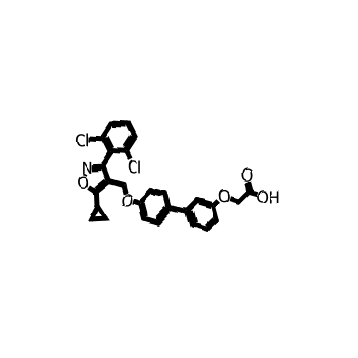 O=C(O)COc1cccc(-c2ccc(OCc3c(-c4c(Cl)cccc4Cl)noc3C3CC3)cc2)c1